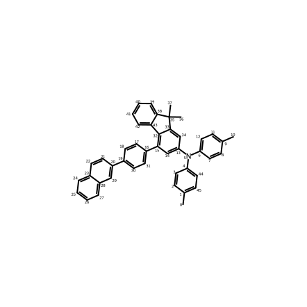 Cc1ccc(N(c2ccc(C)cc2)c2cc(-c3ccc(-c4ccc5ccccc5c4)cc3)c3c(c2)C(C)(C)c2ccccc2-3)cc1